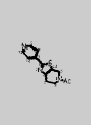 CC(=O)N1CCc2nc(-c3ccncc3)sc2C1